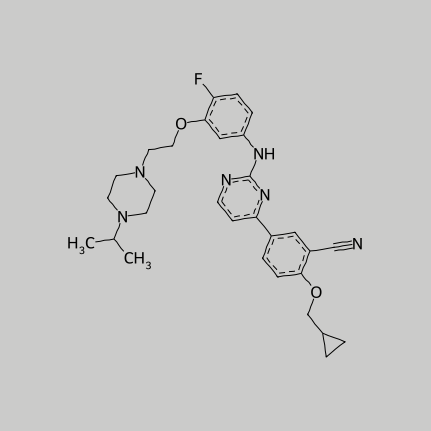 CC(C)N1CCN(CCOc2cc(Nc3nccc(-c4ccc(OCC5CC5)c(C#N)c4)n3)ccc2F)CC1